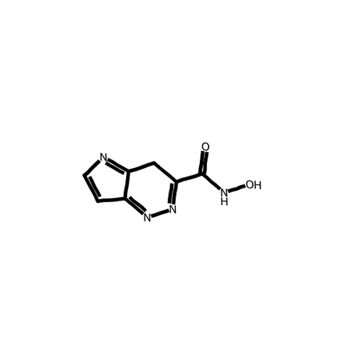 O=C(NO)C1=NN=C2C=CN=C2C1